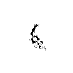 CC(C)C#CCN1CCN(S(C)(=O)=O)CC1